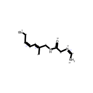 C/C(=C\C=C/CC(C)(C)C)CNC(=O)C/N=C\N